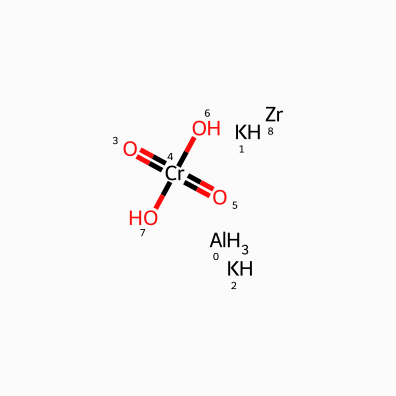 [AlH3].[KH].[KH].[O]=[Cr](=[O])([OH])[OH].[Zr]